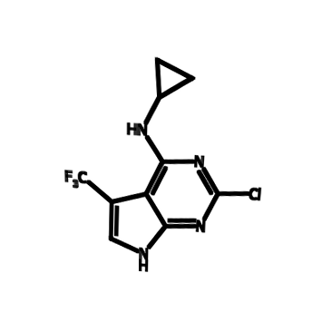 FC(F)(F)c1c[nH]c2nc(Cl)nc(NC3CC3)c12